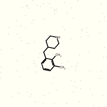 Cc1cccc(CC2CCNCC2)c1C